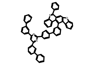 c1ccc(-c2cccc(-c3cc(-c4cccc(-c5ccccc5)c4)nc(-c4ccc(-c5cccc(-c6c7c(cc8c(-c9ccccc9)nc9ccccc9c68)oc6ccccc67)c5)cc4)n3)c2)cc1